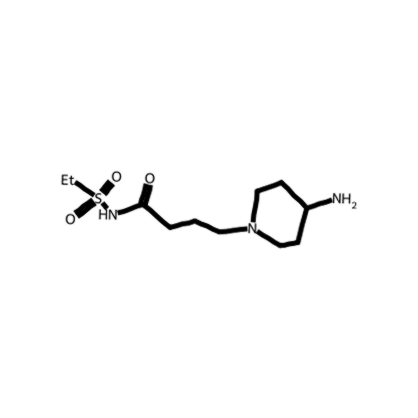 CCS(=O)(=O)NC(=O)CCCN1CCC(N)CC1